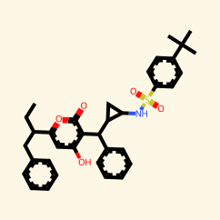 CCC(Cc1ccccc1)c1cc(O)c(C(c2ccccc2)C2CC2NS(=O)(=O)c2ccc(C(C)(C)C)cc2)c(=O)o1